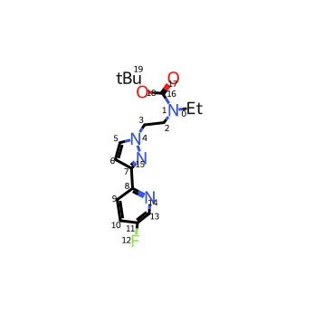 CCN(CCn1ccc(-c2ccc(F)cn2)n1)C(=O)OC(C)(C)C